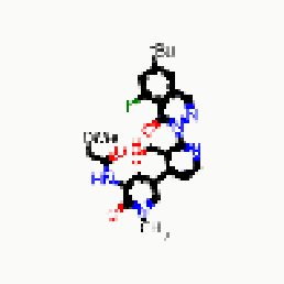 COCC(=O)Nc1cc(-c2ccnc(-n3ncc4cc(C(C)(C)C)cc(F)c4c3=O)c2CO)cn(C)c1=O